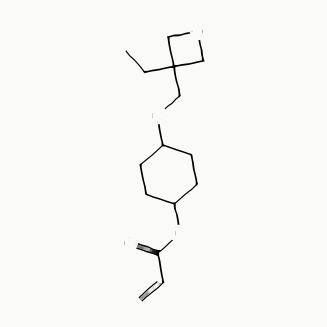 C=CC(=O)OC1CCC(OCC2(CC)COC2)CC1